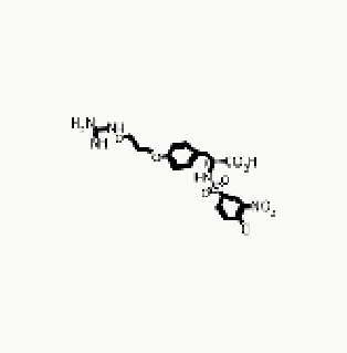 N=C(N)NOCCCOc1ccc(C[C@H](NS(=O)(=O)c2ccc(Cl)c([N+](=O)[O-])c2)C(=O)O)cc1